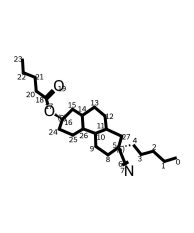 CCCCC[C@]1(C#N)CCC2C(CCC3C[C@H](OC(=O)CCCC)CCC32)C1